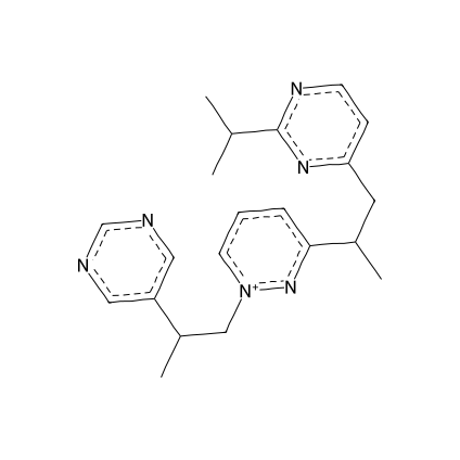 CC(C)c1nccc(CC(C)c2ccc[n+](CC(C)c3cncnc3)n2)n1